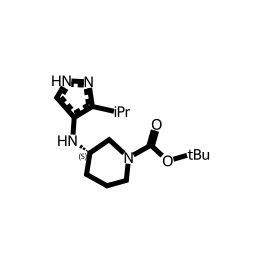 CC(C)c1n[nH]cc1N[C@H]1CCCN(C(=O)OC(C)(C)C)C1